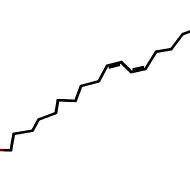 CCCC/C=C\C=C/CCCCCCCCCBr